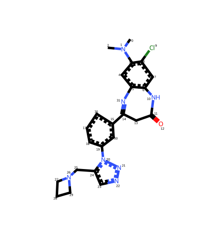 CN(C)c1cc2c(cc1Cl)NC(=O)CC(c1cccc(-n3nncc3CN3CCC3)c1)=N2